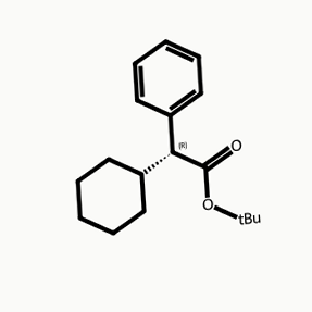 CC(C)(C)OC(=O)[C@@H](c1ccccc1)C1CCCCC1